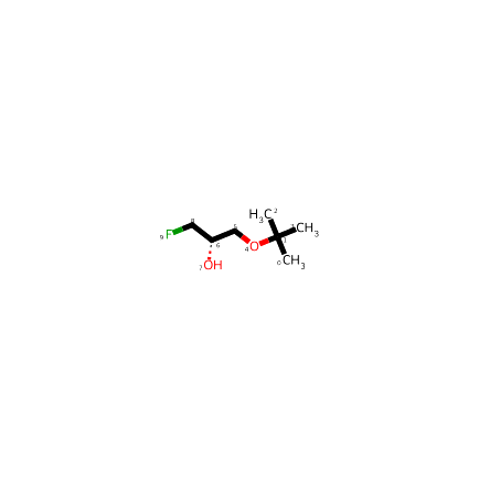 CC(C)(C)OC[C@H](O)CF